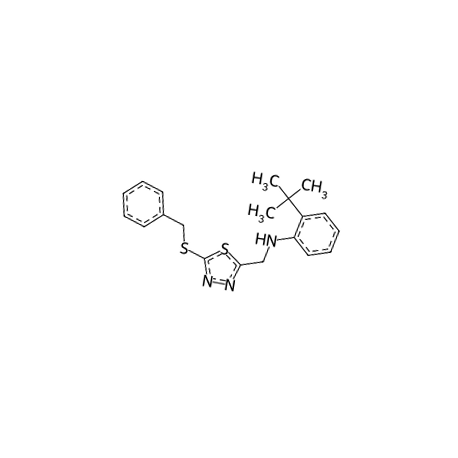 CC(C)(C)c1ccccc1NCc1nnc(SCc2ccccc2)s1